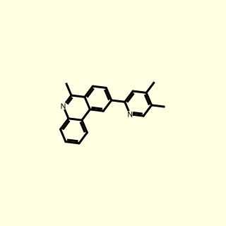 Cc1cnc(-c2ccc3c(C)nc4ccccc4c3c2)cc1C